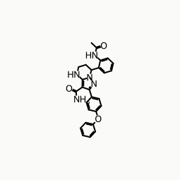 CC(=O)Nc1ccccc1C1CCNc2c(C(N)=O)c(-c3ccc(Oc4ccccc4)cc3)nn21